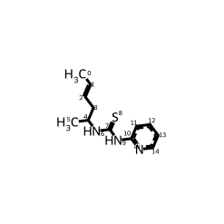 CC=CCC(C)NC(=S)Nc1ccccn1